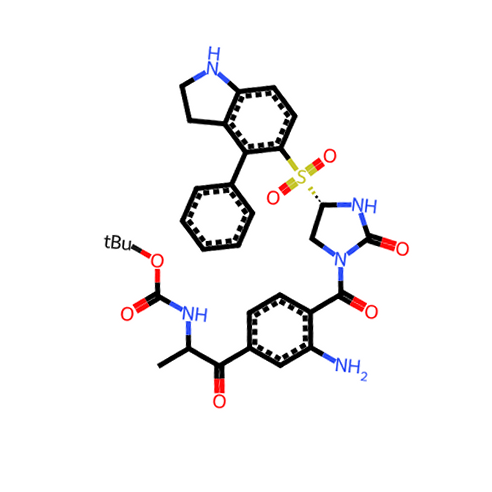 CC(NC(=O)OC(C)(C)C)C(=O)c1ccc(C(=O)N2C[C@H](S(=O)(=O)c3ccc4c(c3-c3ccccc3)CCN4)NC2=O)c(N)c1